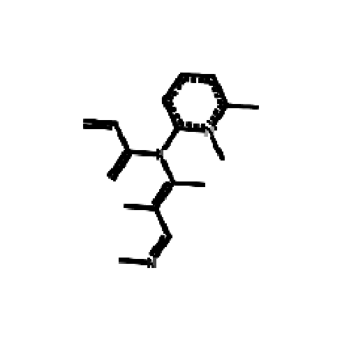 C=CC(=C)N(/C(C)=C(C)/C=N\C)c1cccc(C)[n+]1C